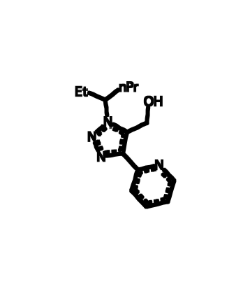 CCCC(CC)n1nnc(-c2ccccn2)c1CO